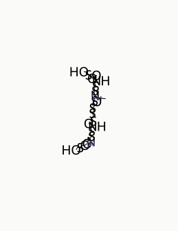 O=C(NCSCSC/N=C/[S+]([O-])CCSCSCCSC(=O)NCSCSC/N=C\OOCSCO)OCSCO